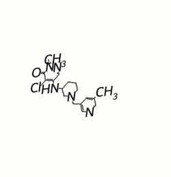 Cc1cncc(CN2CCCC(Nc3cnn(C)c(=O)c3Cl)C2)c1